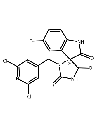 O=C1NC(=O)[C@@]2(C(=O)Nc3ccc(F)cc32)N1Cc1cc(Cl)nc(Cl)c1